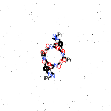 CC(C)C[C@H]1C(=O)O[C@H](Cc2ccc(Cn3ccnc3C(C)C)cc2)C(=O)N(C)[C@@H](CC(C)C)C(=O)O[C@H](C)C(=O)N(C)[C@@H](CC(C)C)C(=O)O[C@H](Cc2ccc(Cn3ccnc3C(C)C)cc2)C(=O)N(C)[C@@H](CC(C)C)C(=O)O[C@H](C)C(=O)N1C